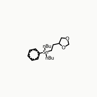 CCC[CH2][Sn]([CH2]CCC)([CH2]CC1COCO1)[c]1ccccc1